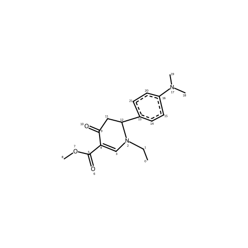 CCN1C=C(C(=O)OC)C(=O)CC1c1ccc(N(C)C)cc1